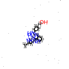 OCCc1ccc(Nc2nc(Nc3cc(C4CC4)n[nH]3)c3ccccc3n2)cc1